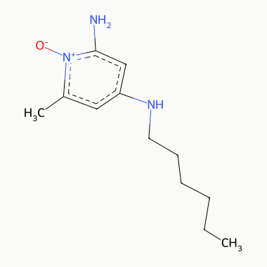 CCCCCCNc1cc(C)[n+]([O-])c(N)c1